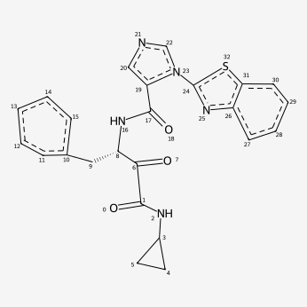 O=C(NC1CC1)C(=O)[C@H](Cc1ccccc1)NC(=O)c1cncn1-c1nc2ccccc2s1